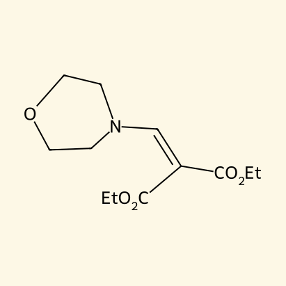 CCOC(=O)C(=CN1CCOCC1)C(=O)OCC